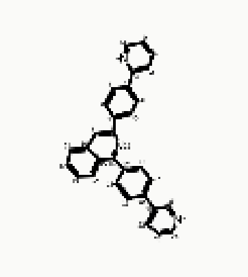 c1ccc(-c2ccc(-c3cc4ccccc4c(-c4ccc(-c5cccnc5)cc4)n3)cc2)nc1